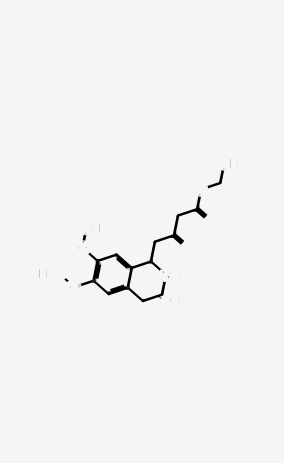 CCOC(=O)CC(=O)CC1NCCc2cc(OC)c(OC)cc21.Cl